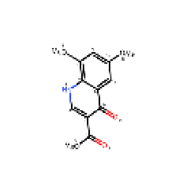 COC(=O)c1c[nH]c2c(OC)cc(OC)cc2c1=O